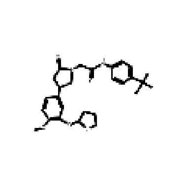 COc1ccc(C2CC(=O)N(CC(=O)Nc3ccc(C(C)(C)C)cc3)C2)cc1OC1CCCO1